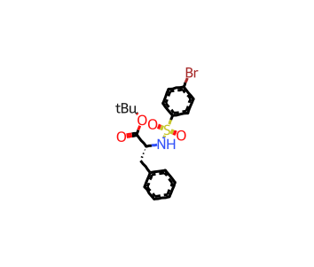 CC(C)(C)OC(=O)[C@@H](Cc1ccccc1)NS(=O)(=O)c1ccc(Br)cc1